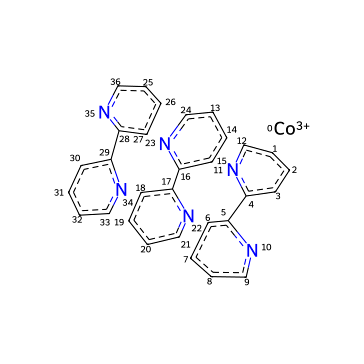 [Co+3].c1ccc(-c2ccccn2)nc1.c1ccc(-c2ccccn2)nc1.c1ccc(-c2ccccn2)nc1